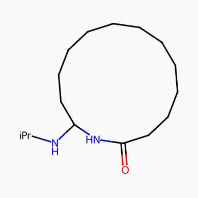 CC(C)NC1CCCCCCCCCCCC(=O)N1